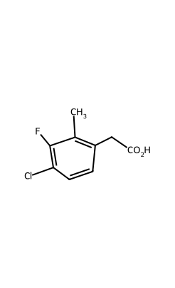 Cc1c(CC(=O)O)ccc(Cl)c1F